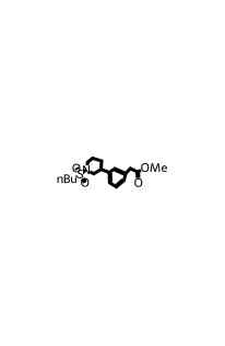 CCCCS(=O)(=O)N1CCCC(c2cccc(CC(=O)OC)c2)C1